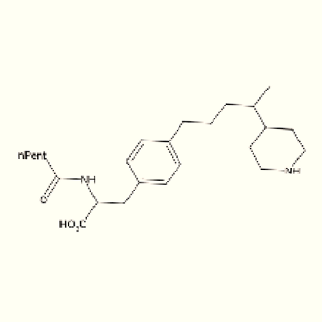 CCCCCC(=O)NC(Cc1ccc(CCCC(C)C2CCNCC2)cc1)C(=O)O